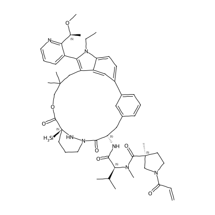 C=CC(=O)N1CC[C@](C)(C(=O)N(C)[C@H](C(=O)N[C@H]2Cc3cccc(c3)-c3ccc4c(c3)c(c(-c3cccnc3[C@H](C)OC)n4CC)CC(C)(C)COC(=O)[C@@]3([SiH3])CCCN(N3)C2=O)C(C)C)C1